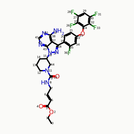 CCOC(=O)C=CCNC(=O)N1CCCC(n2nc(-c3ccc(Oc4c(F)c(F)cc(F)c4F)cc3F)c3c(N)ncnc32)C1